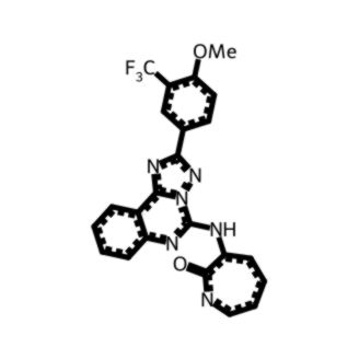 COc1ccc(-c2nc3c4ccccc4nc(Nc4ccccnc4=O)n3n2)cc1C(F)(F)F